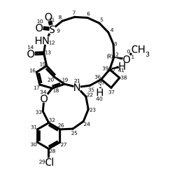 CO[C@@H]1CCCCCCS(=O)(=O)NC(=O)c2ccc3c(c2)N(CCCCc2cc(Cl)ccc2CO3)C[C@@H]2CC[C@H]21